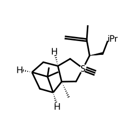 C#S1([C@H](CC(C)C)C(=C)C)C[C@@H]2C[C@@H]3C[C@@H](C3(C)C)[C@]2(C)C1